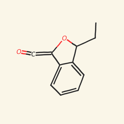 CCC1OC(=C=O)c2ccccc21